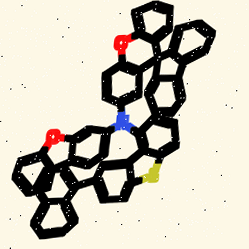 c1ccc2c(c1)Oc1ccc(N(c3ccc4c(c3)oc3ccccc34)c3cccc4sc5ccc(-c6cccc7ccccc67)cc5c34)cc1C21c2ccccc2-c2ccccc21